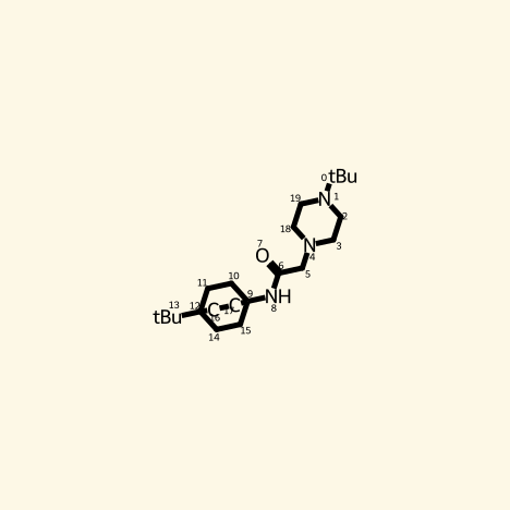 CC(C)(C)N1CCN(CC(=O)NC23CCC(C(C)(C)C)(CC2)CC3)CC1